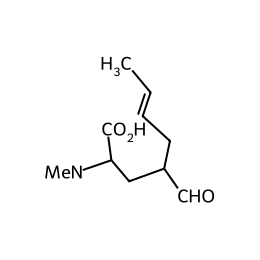 CC=CCC(C=O)CC(NC)C(=O)O